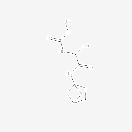 CCCCC(NC(=O)OC(C)(C)C)C(=O)NC12CCC(C1)C2